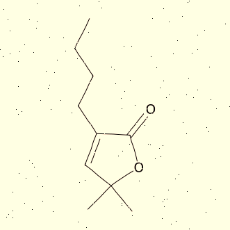 CCCCC1=CC(C)(C)OC1=O